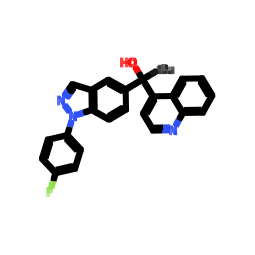 CC(C)(C)C(O)(c1ccc2c(cnn2-c2ccc(F)cc2)c1)c1ccnc2ccccc12